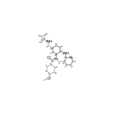 COC1CCC(C(=O)N2Cc3cccnc3Nc3ccc(CNC4(C)CC4)cc32)CC1